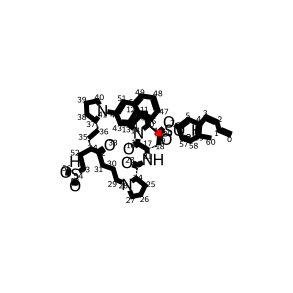 C=C/C=C\c1cc(OC(=O)[C@@H]2CCCN2C(=O)[C@H](CCS(=O)(=O)O)NC(=O)[C@@H]2CCCN2CCCC(=O)[C@@H](CC[C@@H]2CCCN2c2ccc3ccccc3c2)CC[SH](=O)=O)ccc1C